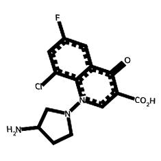 NC1CCN(n2cc(C(=O)O)c(=O)c3cc(F)cc(Cl)c32)C1